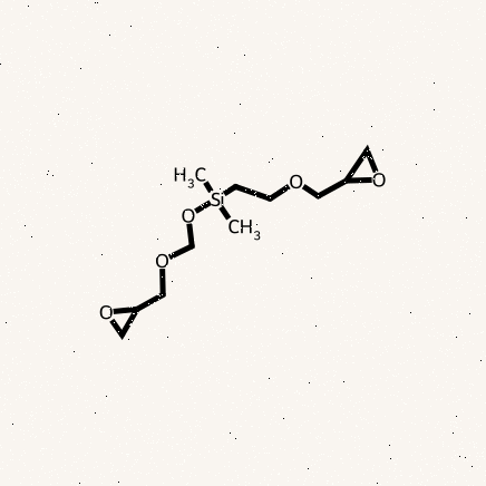 C[Si](C)(CCOCC1CO1)OCOCC1CO1